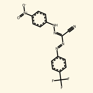 N#CC(N=Nc1ccc(C(F)(F)F)cc1)=NNc1ccc([N+](=O)[O-])cc1